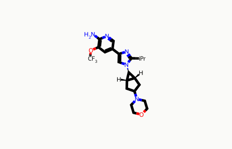 CC(C)c1nc(-c2cnc(N)c(OC(F)(F)F)c2)cn1[C@@H]1[C@@H]2CC(N3CCOCC3)C[C@@H]21